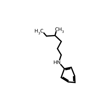 CCC(C)CCCNc1ccccc1